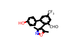 Cc1noc(C)c1-c1c(C=O)cc(C(F)(F)F)cc1-c1ccc(O)cc1